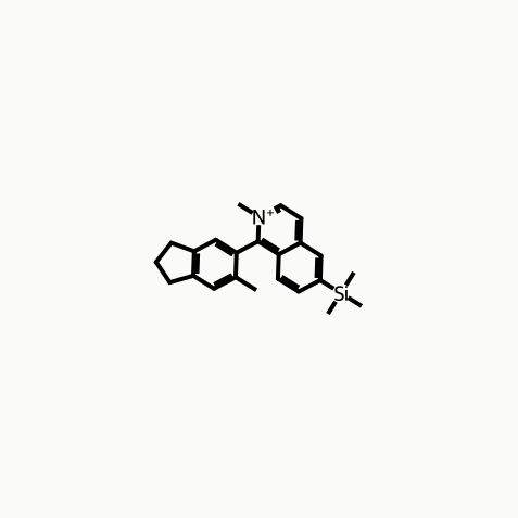 Cc1cc2c(cc1-c1c3ccc([Si](C)(C)C)cc3cc[n+]1C)CCC2